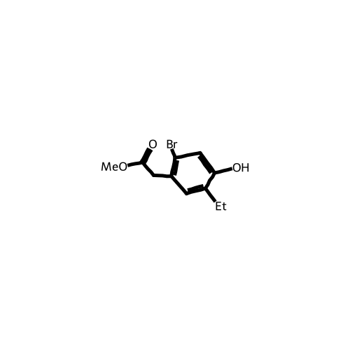 CCc1cc(CC(=O)OC)c(Br)cc1O